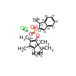 CC1=C(C)C(C)([SiH](C)C)C(OP(=O)(O)C2=Cc3ccccc3[CH]2[Ti+2])=C1C.[Cl-].[Cl-]